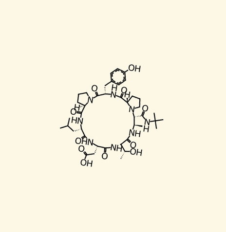 CC(C)C[C@@H]1NC(=O)[C@H]2CCCN2C(=O)[C@H](Cc2ccc(O)cc2)NC(=O)[C@@H]2CCCN2[C@H](C(=O)NC(C)(C)C)[C@@H](C)NC(=O)[C@H]([C@@H](C)O)NC(=O)[C@H](CC(=O)O)NC1=O